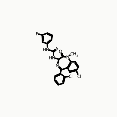 CN1C(=O)C(NC(=S)Nc2cccc(F)c2)N=C(c2ccccc2Cl)c2cc(Cl)ccc21